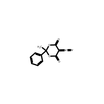 CC1(c2ccccc2)OC(=O)C(=[N+]=[N-])C(=O)O1